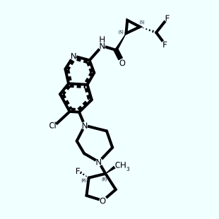 C[C@@]1(N2CCN(c3cc4cc(NC(=O)[C@H]5C[C@@H]5C(F)F)ncc4cc3Cl)CC2)COC[C@@H]1F